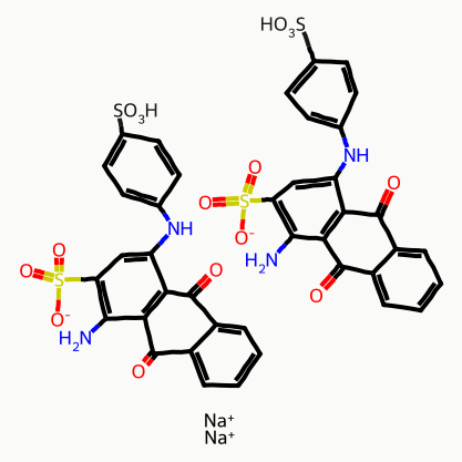 Nc1c(S(=O)(=O)[O-])cc(Nc2ccc(S(=O)(=O)O)cc2)c2c1C(=O)c1ccccc1C2=O.Nc1c(S(=O)(=O)[O-])cc(Nc2ccc(S(=O)(=O)O)cc2)c2c1C(=O)c1ccccc1C2=O.[Na+].[Na+]